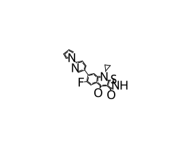 O=c1[nH]sc2c1c(=O)c1cc(F)c(-c3ccc(-n4cccc4)nc3)cc1n2C1CC1